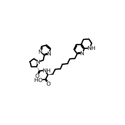 O=C(O)[C@H](CCCCCCCc1ccc2c(n1)NCCC2)NC(=O)[C@@H]1CCCN1Cc1ncccn1